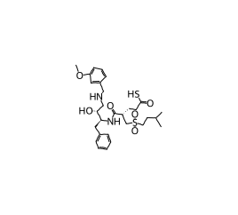 COc1cccc(CNC[C@@H](O)[C@H](Cc2ccccc2)NC(=O)[C@H](CCC(=O)S)CS(=O)(=O)CCC(C)C)c1